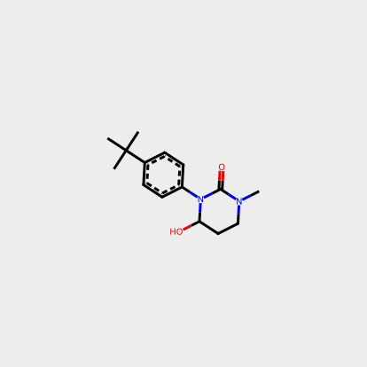 CN1CCC(O)N(c2ccc(C(C)(C)C)cc2)C1=O